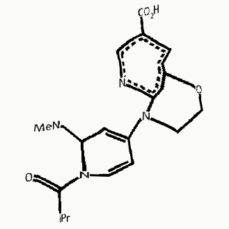 CNC1C=C(N2CCOc3cc(C(=O)O)cnc32)C=CN1C(=O)C(C)C